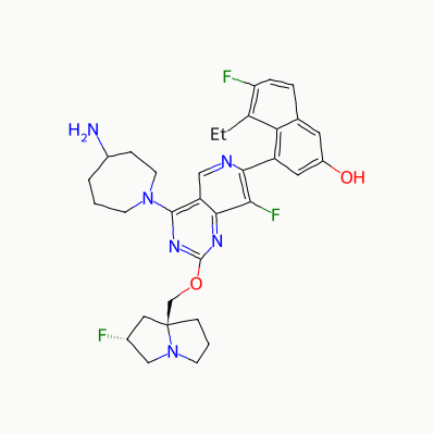 CCc1c(F)ccc2cc(O)cc(-c3ncc4c(N5CCCC(N)CC5)nc(OC[C@@]56CCCN5C[C@H](F)C6)nc4c3F)c12